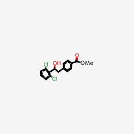 COC(=O)c1ccc(CC(O)c2c(Cl)cccc2Cl)cc1